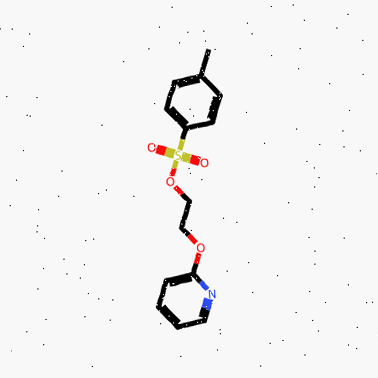 Cc1ccc(S(=O)(=O)OCCOc2ccccn2)cc1